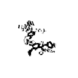 CNC(=O)c1c(-c2ccc(F)cc2)oc2cc(CS(=O)(=O)NCc3cc(C(=O)O)c(O[Si](C)(C)C(C)(C)C)cc3F)c(C3CC3)cc12